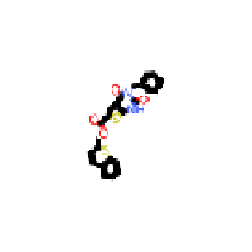 O=C(OCC1C=Cc2ccccc2S1)c1cc2c(=O)n(Cc3ccccc3)c(=O)[nH]c2s1